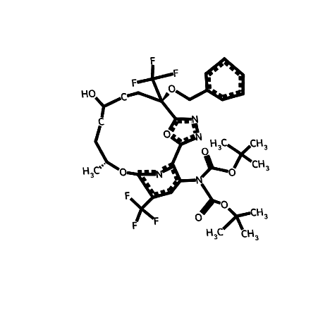 C[C@@H]1CCC(O)CC[C@](OCc2ccccc2)(C(F)(F)F)c2nnc(o2)-c2nc(c(C(F)(F)F)cc2N(C(=O)OC(C)(C)C)C(=O)OC(C)(C)C)O1